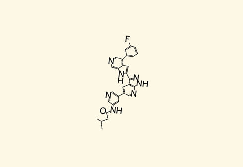 CC(C)CC(=O)Nc1cncc(-c2cnc3[nH]nc(-c4cc5c(-c6cccc(F)c6)cncc5[nH]4)c3c2)c1